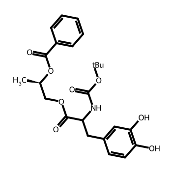 C[C@H](COC(=O)C(Cc1ccc(O)c(O)c1)NC(=O)OC(C)(C)C)OC(=O)c1ccccc1